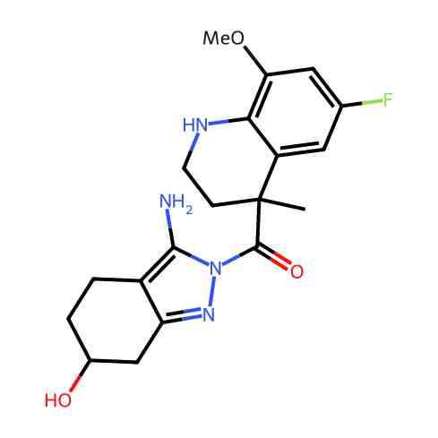 COc1cc(F)cc2c1NCCC2(C)C(=O)n1nc2c(c1N)CCC(O)C2